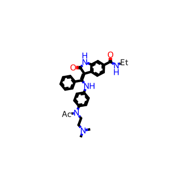 CCNC(=O)c1ccc2c(c1)NC(=O)C2=C(Nc1ccc(N(CCN(C)C)C(C)=O)cc1)c1ccccc1